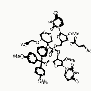 C#CCO[C@@H]1CSSCC1OP(=O)(OCC1O[C@@H](n2ccc(=O)[nH]c2=O)[C@H](OC)[C@@H]1OC(=O)CCC(C)=O)O[C@H]1[C@@H](OC)[C@H](n2ccc(=O)[nH]c2=O)O[C@@H]1COC(c1ccccc1)(c1ccc(OC)cc1)c1ccc(OC)cc1